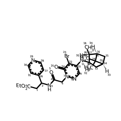 CCOC(=O)CC(NC(=O)Cn1ncc(N[C@@H]2C[C@@H]3C[C@H]([C@H]2C)C3(C)C)c(Br)c1=O)c1ccncc1